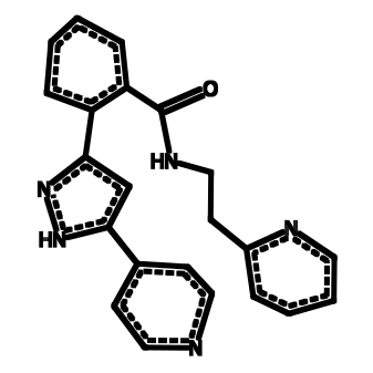 O=C(NCCc1ccccn1)c1ccccc1-c1cc(-c2ccncc2)[nH]n1